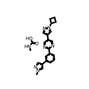 CNC(=O)O.Cn1cc(-c2cccc(-c3ncc(-c4cnn(C5CCC5)c4)cn3)c2)cn1